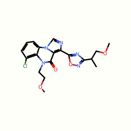 COCCn1c(=O)c2c(-c3nc(C(C)COC)no3)ncn2c2cccc(Cl)c21